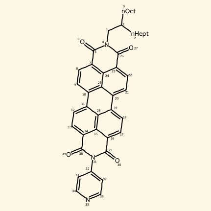 CCCCCCCCC(CCCCCCC)CN1C(=O)c2ccc3c4ccc5c6c(ccc(c7ccc(c2c37)C1=O)c64)C(=O)N(c1ccncc1)C5=O